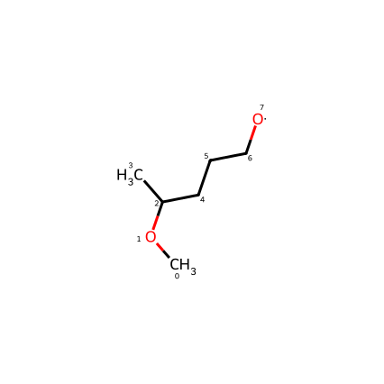 COC(C)CCC[O]